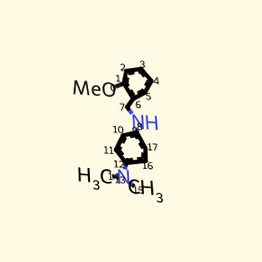 COc1ccccc1CNc1ccc(N(C)C)cc1